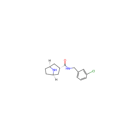 O=C(NCc1cccc(Cl)c1)[C@@H]1C[C@H]2CC[C@@H](C1)N2